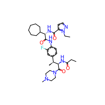 CCC(=O)N[C@@H](C(=O)N1CCN(C)CC1)[C@@H](C)c1ccc(NC(=O)[C@@H](NC(=O)c2ccnn2CC)C2CCCCCC2)c(F)c1